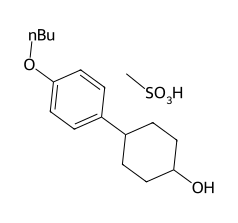 CCCCOc1ccc(C2CCC(O)CC2)cc1.CS(=O)(=O)O